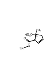 CC(C)(C)OC(=O)N1C=CC[C@@]1(C)C(=O)O